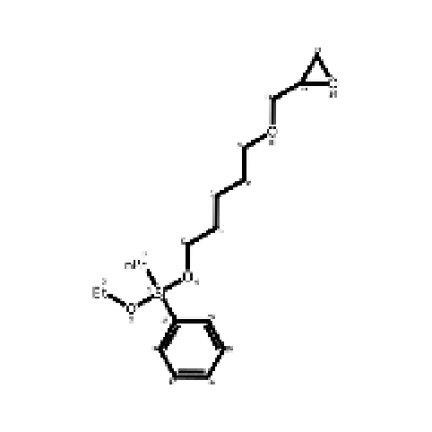 CCC[Si](OCC)(OCCCCCOCC1CO1)c1ccccc1